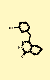 O=Cc1cccc(Cc2n[nH]c(=O)c3ccccc23)c1